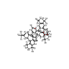 CC1=C2B(c3cc4c(cc3N1c1cc3c(cc1-c1ccccc1)C(C)(C)CCC3(C)C)C(C)(C)CCC4(C)C)c1sc3c(c1N(C1=CC=C(C(C)(C)C)CC1C)/C2=C/C(C)C)C=C1C(C3)C(C)(C)CCC1(C)C